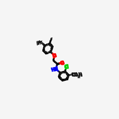 Cc1cc(OCC(=O)Nc2cccc(C(=O)O)c2Cl)ccc1C(C)C